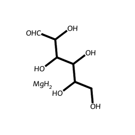 O=CC(O)C(O)C(O)C(O)CO.[MgH2]